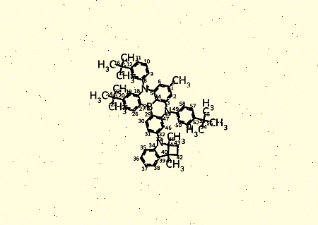 Cc1cc2c3c(c1)N(c1cccc(C(C)(C)C)c1)c1cc(C(C)(C)C)ccc1B3c1ccc(N3c4ccccc4C4(C)CCC34C)cc1N2c1ccc(C(C)(C)C)cc1